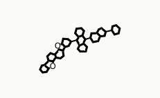 c1ccc(-c2ccc3cc(-c4c5ccccc5c(-c5ccc6oc7c(ccc8c7ccc7c9ccccc9oc78)c6c5)c5ccccc45)ccc3c2)cc1